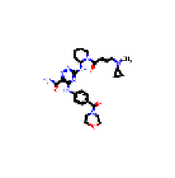 CN(C/C=C/C(=O)N1CCCC[C@@H]1Nc1nnc(C(N)=O)c(Nc2ccc(C(=O)N3CCOCC3)cc2)n1)C1CC1